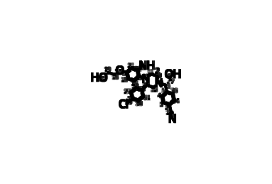 N#Cc1ccc([C@@H](CO)N2CCN(c3ccc(OCCO)cc3N)[C@H](c3ccc(Cl)cc3)C2)cc1